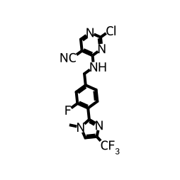 Cn1cc(C(F)(F)F)nc1-c1ccc(CNc2nc(Cl)ncc2C#N)cc1F